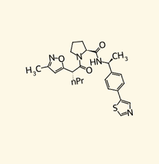 CCC[C@@H](C(=O)N1CCC[C@H]1C(=O)N[C@@H](C)c1ccc(-c2cncs2)cc1)c1cc(C)no1